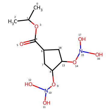 CC(C)OC(=O)C1CC(ON(O)O)C(ON(O)O)C1